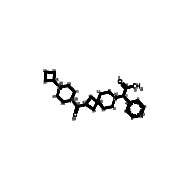 CC(=O)C(c1ccncc1)N1CCC2(CC1)CC(C(=O)N1CCN(C3CCC3)CC1)C2